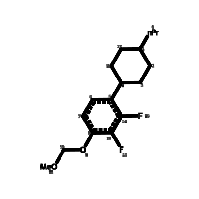 CCCC1CCC(c2ccc(OCOC)c(F)c2F)CC1